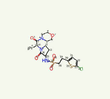 CC(C)[C@@H](C(=O)N1CCOCC1)N1CC[C@H](NS(=O)(=O)CCc2ccc(Cl)s2)C1=O